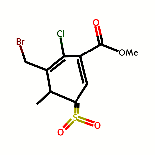 COC(=O)C1=CC(=S(=O)=O)C(C)C(CBr)=C1Cl